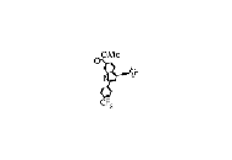 COC(=O)c1ccc2c(C#C[Si](C)(C)C)cc(-c3ccc(C(F)(F)F)cc3)nc2c1